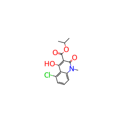 CC(C)OC(=O)c1c(O)c2c(Cl)cccc2n(C)c1=O